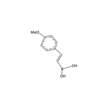 COc1ccc(/C=C/B(O)O)cc1